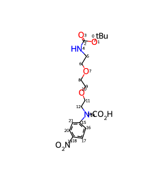 CC(C)(C)OC(=O)NCCOCCOCCN(C(=O)O)c1ccc([N+](=O)[O-])cc1